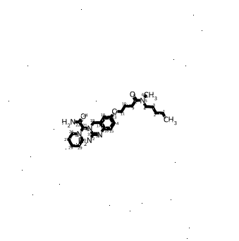 CCCCCN(C)C(=O)CCCOc1ccc2c(c1)CN(C(C(N)=O)N1CCCCC1)C(N)=N2